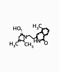 Cc1cccc2c(=O)[nH]c(CCN3C(C)[C@@H](C)C[C@@H]3CO)cc12